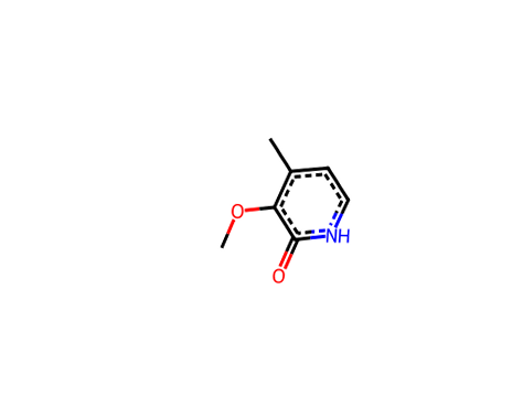 COc1c(C)cc[nH]c1=O